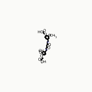 COc1cc(/C=C/C(=O)CC(=O)/C=C/C2=CC(OC)C(OCC(=O)O)C=C2)ccc1OCC(=O)O